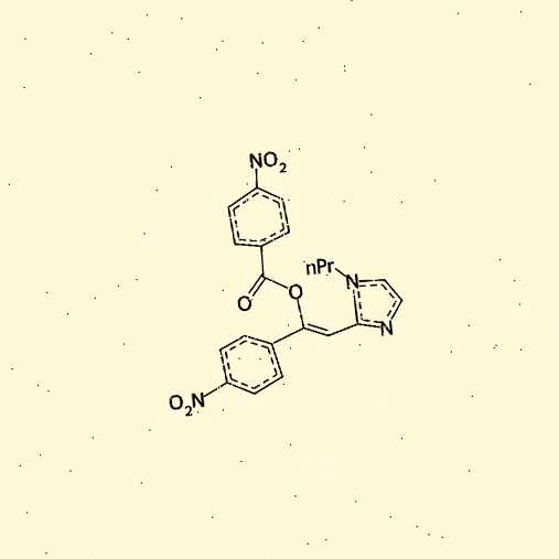 CCCn1ccnc1C=C(OC(=O)c1ccc([N+](=O)[O-])cc1)c1ccc([N+](=O)[O-])cc1